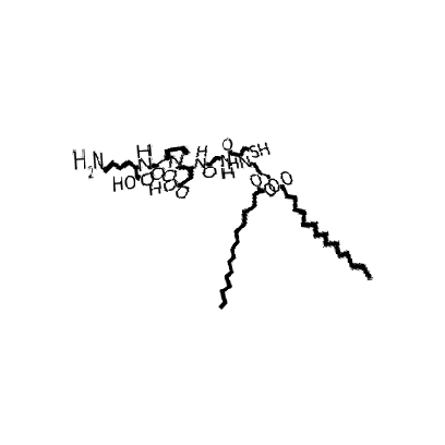 CCCCCCCCCCCCCCCC(=O)OC[C@H](CNC(CS)C(=O)NCC(=O)NC(CC(=O)O)C(=O)N1CCC[C@@H]1C(=O)NC(CCCCN)C(=O)O)OC(=O)CCCCCCCCCCCCCCC